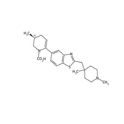 C[C@H]1CC=C(c2ccc3sc(CC4(C)CCN(C)CC4)nc3c2)N(C(=O)O)C1